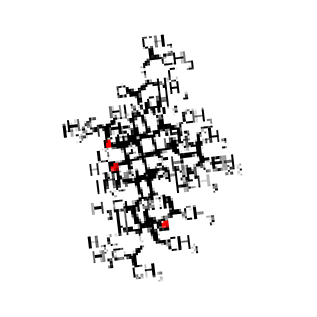 C=C(C)C[C@H](NC(=O)[C@H](CC(C)C)NC)C(=O)C(C(=O)[C@@H](C)NC(=O)[C@H](C)N)C(C)(C(=O)[C@@H](NC)C(C)C)C(C(=O)C(NC)C(O)C(C)C/C=C/C)(C(=O)[C@@H](N)[C@@H](C)O)[C@](C=O)(C(=O)CNC)N(C)C(=O)[C@H](CC(C)C)NC(=O)[C@H](CC(C)C)NC